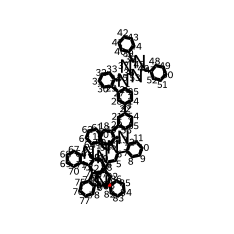 c1ccc(-c2cc(-c3ccccc3-n3c4ccccc4c4cc(-c5ccc6c(c5)c5ccccc5n6-c5nc(-c6ccccc6)nc(-c6ccccc6)n5)ccc43)nc(-c3ccccc3-n3c4ccccc4c4c5c6ccccc6n(-c6ccccc6)c5ccc43)n2)cc1